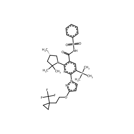 C[C@@H]1CN(c2nc(-n3ccc(OCCC4(C(F)(F)F)CC4)n3)c(S(C)(C)C)cc2C(=O)NS(=O)(=O)c2ccccc2)C(C)(C)C1